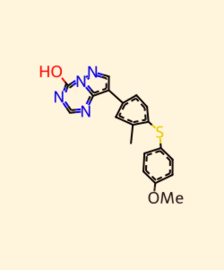 COc1ccc(Sc2ccc(-c3cnn4c(O)ncnc34)cc2C)cc1